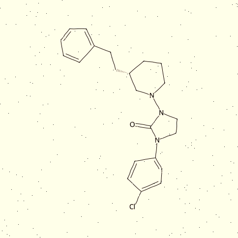 O=C1N(c2ccc(Cl)cc2)CCN1N1CCC[C@@H](CCc2ccccc2)C1